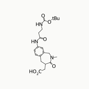 CN1Cc2cc(NC(=O)CCNC(=O)OC(C)(C)C)ccc2CC(CC(=O)O)C1=O